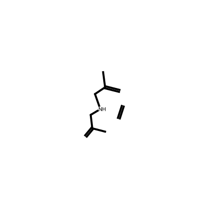 C=C.C=C(C)CNCC(=C)C